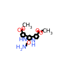 CCOC(=O)c1ccc2[nH]c3c(OCCN)c4[nH]c5ccc(C(=O)OCC)cc5c4cc3c2c1